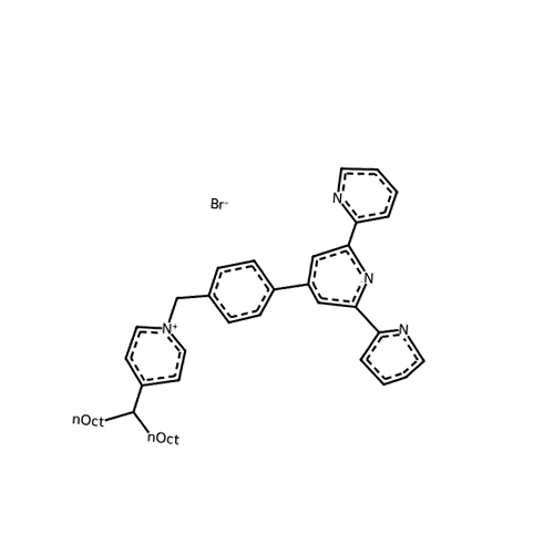 CCCCCCCCC(CCCCCCCC)c1cc[n+](Cc2ccc(-c3cc(-c4ccccn4)nc(-c4ccccn4)c3)cc2)cc1.[Br-]